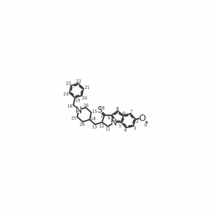 COc1ccc2c(c1)cc1n2CC(CC2CCN(Cc3ccccc3)CC2)C1=S